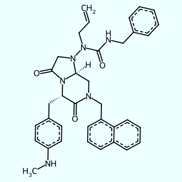 C=CCN(C(=O)NCc1ccccc1)N1CC(=O)N2[C@@H](Cc3ccc(NC)cc3)C(=O)N(Cc3cccc4ccccc34)C[C@@H]21